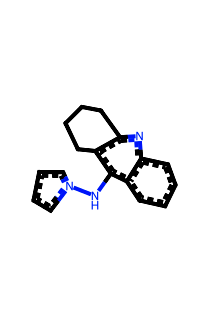 c1ccc2c(Nn3cccc3)c3c(nc2c1)CCCC3